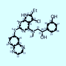 CCc1[nH]c2nc(Sc3cnc4nccnc4c3)nc(N(C)C[C@H](O)c3cccc(O)c3)c2c1Cl